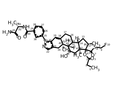 CCC(=O)O[C@]1(C(=O)SCF)[C@H](C)C[C@H]2[C@@H]3CCC4=Cc5c(cnn5-c5cccc(C(=O)N[C@@H](C)C(N)=O)c5)C[C@]4(C)[C@@]3(F)[C@@H](O)C[C@@]21C